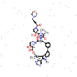 CCn1c(-c2cncnc2)c2c3cc(ccc31)-c1cccc(c1)C[C@H](NC(=O)[C@H](C(C)C)N(C)C(=O)C1(O)CCN(C(=O)C#CCN3CCOCC3)C1)C(=O)N1CCC[C@@](O)(N1)C(=O)OCC(C)(C)C2